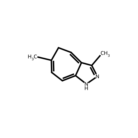 CC1=CC=c2[nH]nc(C)c2=CC1